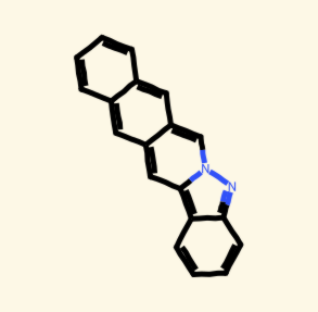 c1ccc2cc3cn4nc5ccccc5c4cc3cc2c1